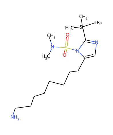 CN(C)S(=O)(=O)n1c(CCCCCCCCN)cnc1[Si](C)(C)C(C)(C)C